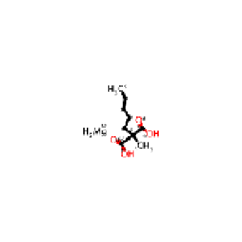 CCCCCC(C)(C(=O)O)C(=O)O.[MgH2]